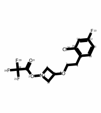 O=C(ON1CC(OCCc2ccc(F)cc2Cl)C1)C(F)(F)F